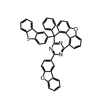 c1ccc(C2(c3ccc4sc5ccccc5c4c3)c3nc(-c4ccc5oc6ccccc6c5c4)nc(n3)-c3cccc4oc5cccc2c5c34)cc1